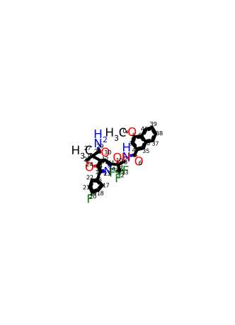 COc1cc(C(=O)NCC(O)(c2cc3c(c(-c4ccc(F)cc4)n2)OC[C@]3(C)C(N)=O)C(F)(F)F)cc2ccccc12